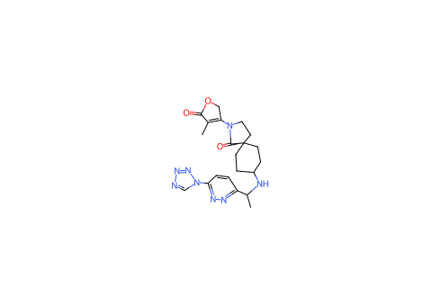 CC1=C(N2CCC3(CCC(NC(C)c4ccc(-n5cnnn5)nn4)CC3)C2=O)COC1=O